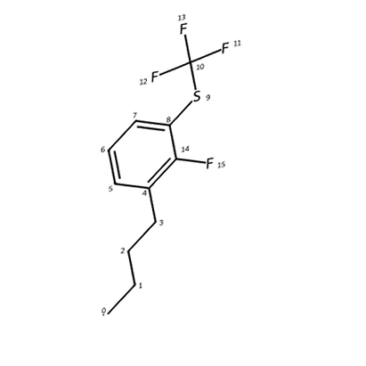 [CH2]CCCc1cccc(SC(F)(F)F)c1F